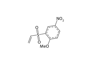 C=CS(=O)(=O)c1cc([N+](=O)[O-])ccc1OC